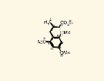 CCOC(=O)CC(C)Cc1c(OC)cc(OC)cc1OC(C)=O